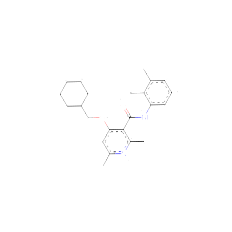 Cc1cc(OCC2CCCCC2)c(C(=O)Nc2cccc(C)c2C)c(C)n1